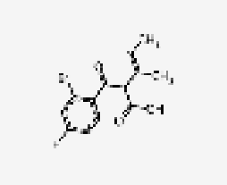 CN=C(C)C(C(=O)O)C(=O)c1ccc(F)cc1Br